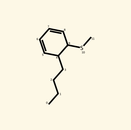 CCCCC1C=CC=C[C]1SC